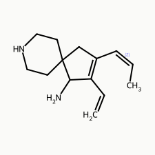 C=CC1=C(/C=C\C)CC2(CCNCC2)C1N